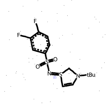 CC(C)(C)N1C=C/S(=N/S(=O)(=O)c2ccc(F)c(F)c2)C1